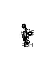 O=C(NC(c1nc2c(F)c(C(CC(F)(F)F)C(=O)O)ccc2[nH]1)C1CCC(F)(F)CC1)OCc1ccccc1